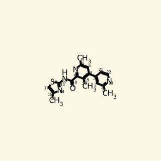 Cc1cc(-c2cc(C)nc(C(=O)Nc3nc(C)cs3)c2C)ccn1